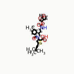 CC(C)(C)C#Cc1cc(N(CCCCNC(=O)OC2CO[C@@H]3OCCC23)C(=O)[C@H]2CC[C@H](C)CC2)c(C(=O)O)s1